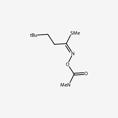 CNC(=O)ON=C(CCC(C)(C)C)SC